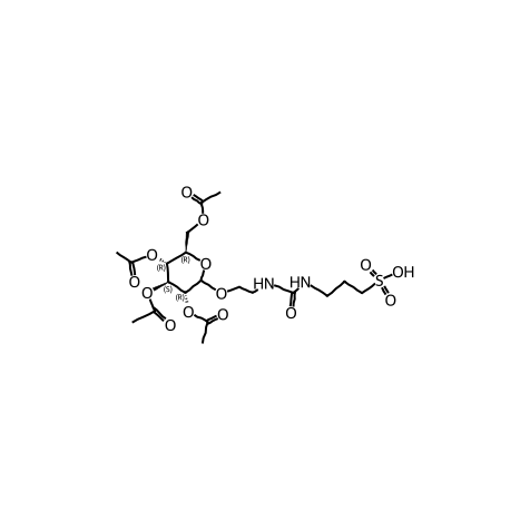 CC(=O)OC[C@H]1OC(OCCNC(=O)NCCCS(=O)(=O)O)[C@H](OC(C)=O)[C@@H](OC(C)=O)[C@@H]1OC(C)=O